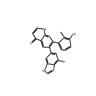 Cc1c(C#N)cccc1-c1nc2[nH]ccc(=O)c2cc1-c1cc(Cl)c2nc[nH]c2c1